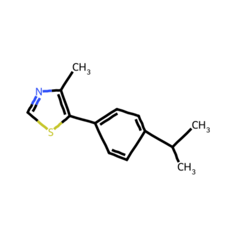 Cc1ncsc1-c1ccc(C(C)C)cc1